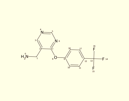 NCc1cncnc1Oc1ccc(C(F)(F)F)cc1